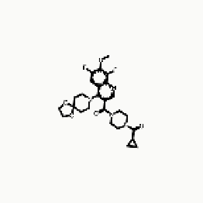 COc1c(F)cc2c(N3CCC4(CC3)OCCO4)c(C(=O)N3CCN(C(=O)C4CC4)CC3)cnc2c1F